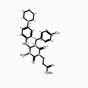 COC(=O)CCN1C(=O)N(N)C(Nc2ccc(N3CCCCC3)cc2)N(Cc2ccc(Cl)cc2)C1=O